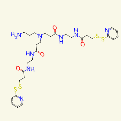 NCCCN(CCC(=O)NCCNC(=O)CCSSc1ccccn1)CCC(=O)NCCNC(=O)CCSSc1ccccn1